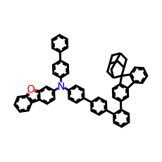 c1ccc(-c2ccc(N(c3ccc(-c4ccc(-c5ccccc5-c5ccc6c(c5)-c5ccccc5C65C6CC7CC(C6)CC5C7)cc4)cc3)c3ccc4c(c3)oc3ccccc34)cc2)cc1